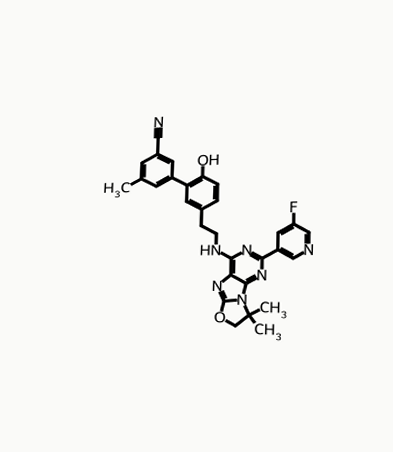 Cc1cc(C#N)cc(-c2cc(CCNc3nc(-c4cncc(F)c4)nc4c3nc3n4C(C)(C)CO3)ccc2O)c1